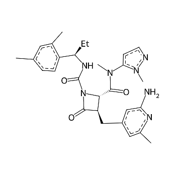 CC[C@@H](NC(=O)N1C(=O)[C@H](Cc2cc(C)nc(N)c2)[C@H]1C(=O)N(C)c1ccnn1C)c1ccc(C)cc1C